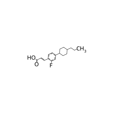 CCCC1CCC(c2ccc(/C=C/C(=O)O)c(F)c2)CC1